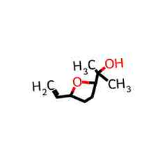 C=CC1CCC(C(C)(C)O)O1